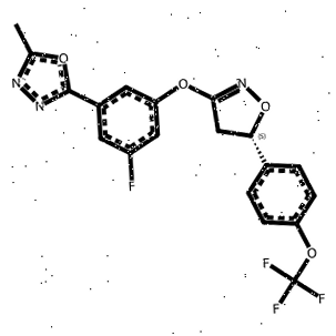 Cc1nnc(-c2cc(F)cc(OC3=NO[C@H](c4ccc(OC(F)(F)F)cc4)C3)c2)o1